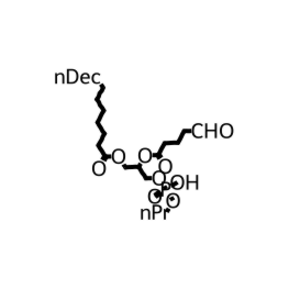 CCCCCCCCCCCCCCCCC(=O)OCC(COP(=O)(O)OCCC)OC(=O)CCCC=O